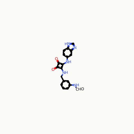 O=CNc1cccc(CNc2c(Nc3ccc4[nH]cnc4c3)c(=O)c2=O)c1